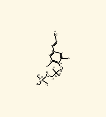 Cc1cc(C=CBr)cc(C)c1OC(C)(C)CO[Si](C)(C)C